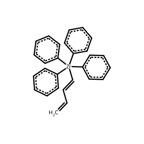 C=CC=[CH][Zr]([c]1ccccc1)([c]1ccccc1)([c]1ccccc1)[c]1ccccc1